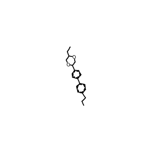 CCCc1ccc(-c2ccc(C3COC(CC)CO3)cc2)cc1